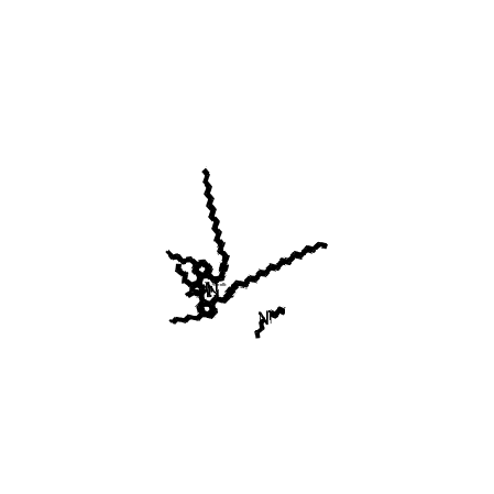 CCCCCCCCCCCCCCCCC#CCCc1ccc(CCCCC)cc1C1=C(C)C(CCCC)=C(c2cc(CCCCC)ccc2CCC#CCCCCCCCCCCCCCCCC)[N+]1=[N-].CCC[CH2][Ni][CH2]CCC